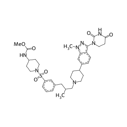 COC(=O)NC1CCN(S(=O)(=O)c2cccc(CC(C)CN3CCC(c4ccc5c(N6CCC(=O)NC6=O)nn(C)c5c4)CC3)c2)CC1